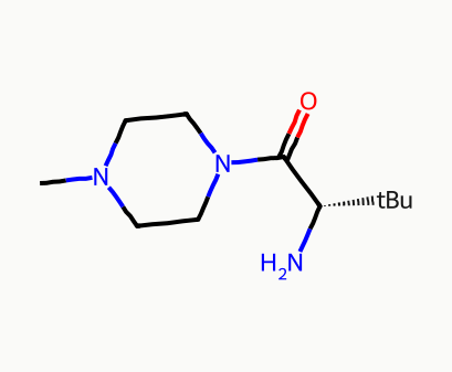 CN1CCN(C(=O)[C@@H](N)C(C)(C)C)CC1